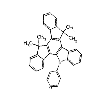 CC1(C)c2ccccc2-c2c1c1c(c3c4ccccc4n(-c4ccncc4)c23)C(C)(C)c2ccccc2-1